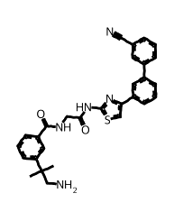 CC(C)(CN)c1cccc(C(=O)NCC(=O)Nc2nc(-c3cccc(-c4cccc(C#N)c4)c3)cs2)c1